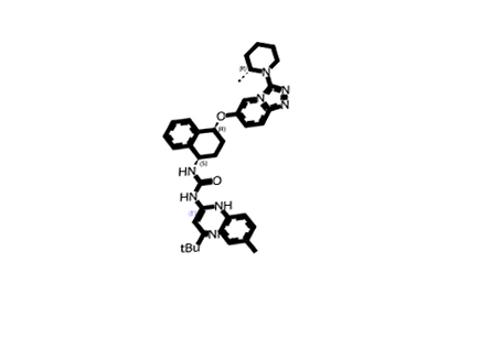 Cc1ccc(N/C(=C\C(=N)C(C)(C)C)NC(=O)N[C@H]2CC[C@@H](Oc3ccc4nnc(N5CCCC[C@H]5C)n4c3)c3ccccc32)cc1